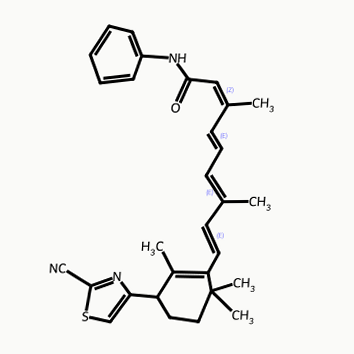 CC1=C(/C=C/C(C)=C/C=C/C(C)=C\C(=O)Nc2ccccc2)C(C)(C)CCC1c1csc(C#N)n1